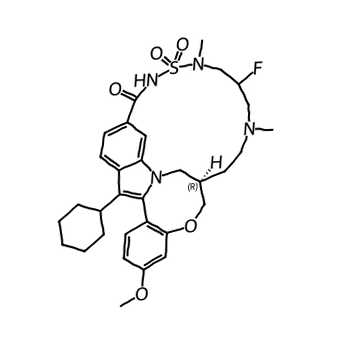 COc1ccc2c(c1)OC[C@@H]1CCN(C)CC(F)CN(C)S(=O)(=O)NC(=O)c3ccc4c(C5CCCCC5)c-2n(c4c3)C1